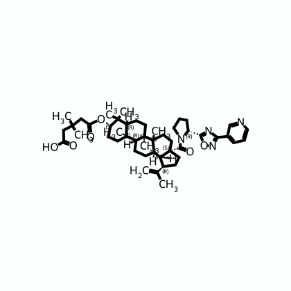 C=C(C)[C@@H]1CC[C@]2(C(=O)N3CCC[C@@H]3c3nc(-c4cccnc4)no3)CC[C@]3(C)[C@H](CC[C@@H]4[C@@]5(C)CC[C@H](OC(=O)CC(C)(C)CC(=O)O)C(C)(C)[C@@H]5CC[C@]43C)[C@@H]12